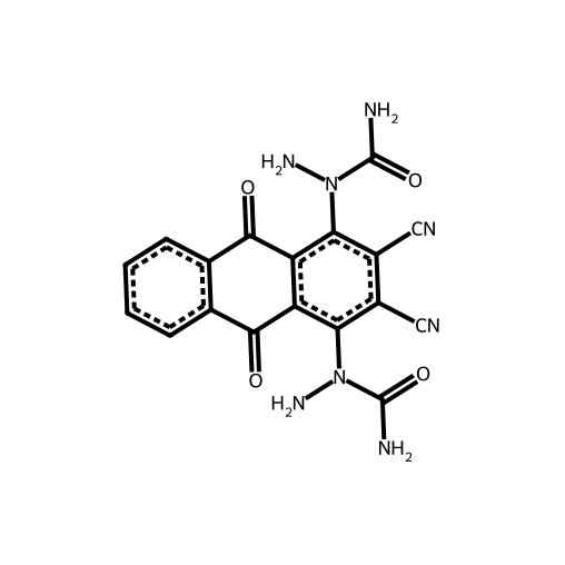 N#Cc1c(C#N)c(N(N)C(N)=O)c2c(c1N(N)C(N)=O)C(=O)c1ccccc1C2=O